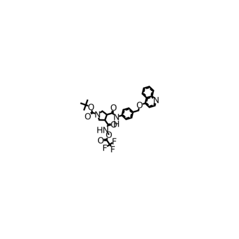 CC(C)(C)OC(=O)N1CC(C(=O)NOC(=O)C(F)(F)F)C(C(=O)Nc2ccc(COc3ccnc4ccccc34)cc2)C1